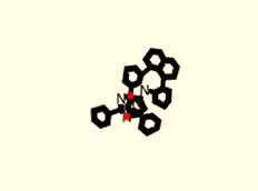 c1ccc(-c2nc(-c3ccccc3)nc(-c3cccc4c3N(c3ccccc3)c3ccccc3-c3cccc5cccc-4c35)n2)cc1